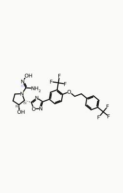 N/C(=N\O)N1CC[C@H](O)[C@H]1c1nc(-c2ccc(OCCc3ccc(C(F)(F)F)cc3)c(C(F)(F)F)c2)no1